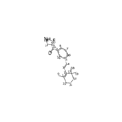 CC1=C(C=Cc2cccc(C(=O)C(F)CN)c2)C(C)(C)CCC1